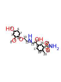 COc1cc(O)ccc1OCCNCC(O)c1ccc(C)c(S(N)(=O)=O)c1